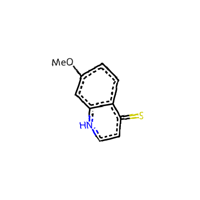 COc1ccc2c(=S)cc[nH]c2c1